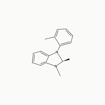 Cc1ccccc1N1c2ccccc2N(C)[C@@H]1C